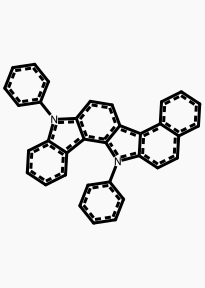 c1ccc(-n2c3ccccc3c3c2ccc2c4c5ccccc5ccc4n(-c4ccccc4)c23)cc1